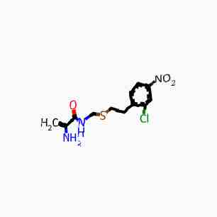 C=C(N)C(=O)NCSCCc1ccc([N+](=O)[O-])cc1Cl